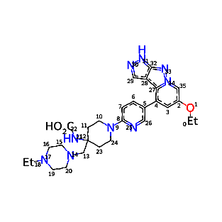 CCOc1cc(-c2ccc(N3CCC(CN4CCN(CC)CC4)(NC(=O)O)CC3)nc2)c2c3cn[nH]c3nn2c1